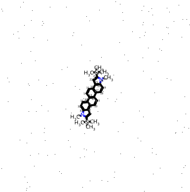 Cn1c([Si](C)(C)C)cc2c3ccc4c(ccc5c4ccc4c5cc([Si](C)(C)C)n4C)c3ccc21